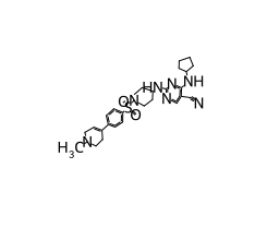 CN1CC=C(c2ccc(S(=O)(=O)N3CCC(Nc4ncc(C#N)c(NC5CCCC5)n4)CC3)cc2)CC1